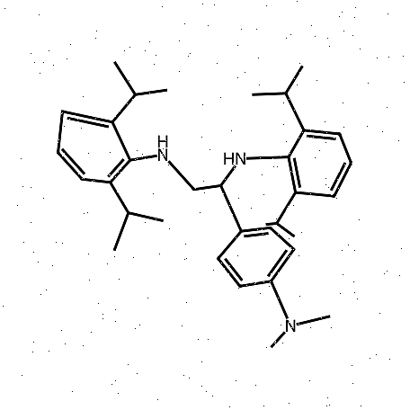 CC(C)c1cccc(C(C)C)c1NCC(Nc1c(C(C)C)cccc1C(C)C)c1ccc(N(C)C)cc1